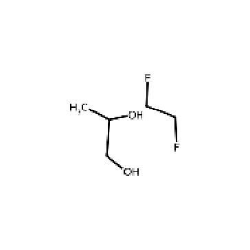 CC(O)CO.FCCF